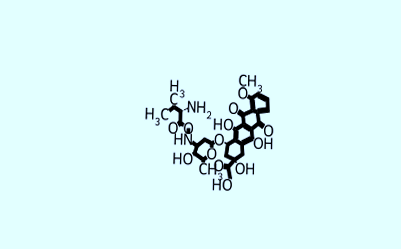 COc1cccc2c1C(=O)c1c(O)c3c(c(O)c1C2=O)C[C@@](O)(C(=O)CO)C[C@@H]3OC1CC(NOC(=O)[C@@H](N)C(C)C)C(O)C(C)O1